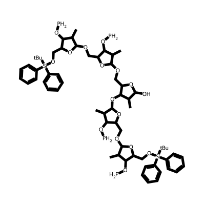 CC1C(O)OC(COC2OC(COC3OC(CO[Si](c4ccccc4)(c4ccccc4)C(C)(C)C)C(OP)C3C)C(OP)C2C)C1OC1OC(COC2OC(CO[Si](c3ccccc3)(c3ccccc3)C(C)(C)C)C(OP)C2C)C(OP)C1C